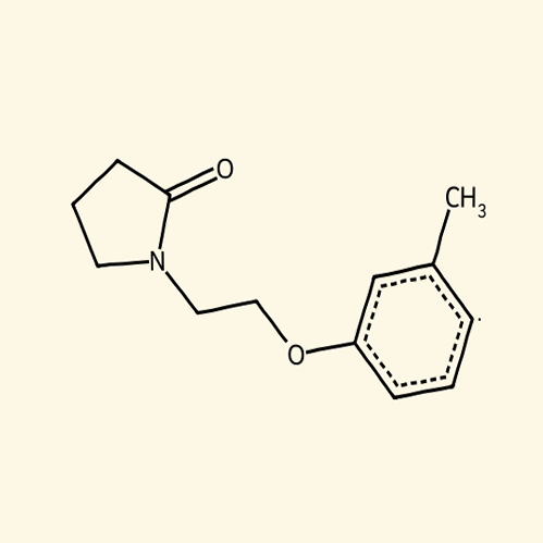 Cc1[c]ccc(OCCN2CCCC2=O)c1